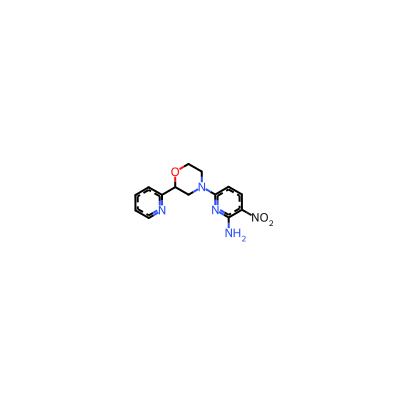 Nc1nc(N2CCOC(c3ccccn3)C2)ccc1[N+](=O)[O-]